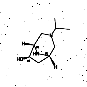 CC(C)N1C[C@@H]2C[C@@H](O)[C@H](C1)N2